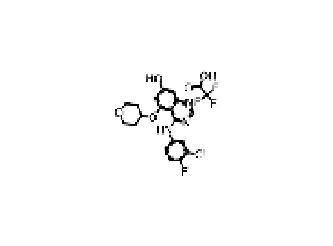 O=C(O)C(F)(F)F.Oc1cc(OC2CCOCC2)c2c(Nc3ccc(F)c(Cl)c3)ncnc2c1